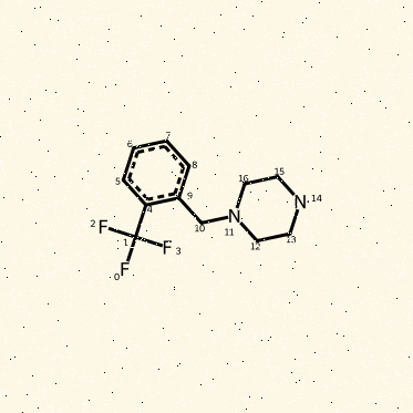 FC(F)(F)c1ccccc1CN1CC[N]CC1